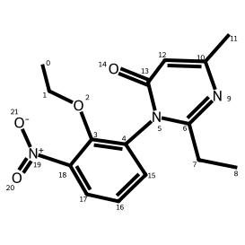 CCOc1c(-n2c(CC)nc(C)cc2=O)cccc1[N+](=O)[O-]